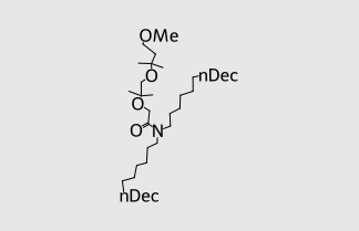 CCCCCCCCCCCCCCCCN(CCCCCCCCCCCCCCCC)C(=O)COC(C)(C)COC(C)(C)CCOC